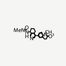 CNC(=O)NC1CCCc2c(-c3ccc4c(c3)CCC(=O)N4C)cncc21